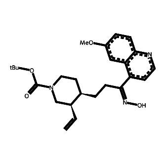 C=C[C@H]1CN(C(=O)OC(C)(C)C)CC[C@H]1CC/C(=N/O)c1ccnc2ccc(OC)cc12